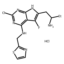 CCC(N)Cc1[nH]c2nc(Cl)nc(NCc3nccs3)c2c1F.Cl